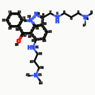 CN(C)CCCNCc1nn2c3ccccc3c(=O)c3c(NCCCN(C)C)ccc1c32